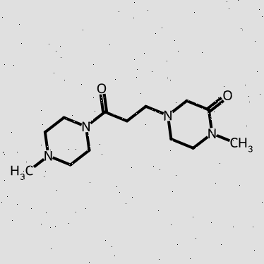 CN1CCN(C(=O)CCN2CCN(C)C(=O)C2)CC1